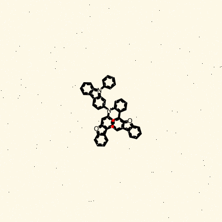 c1ccc(-n2c3ccccc3c3ccc(N(c4ccc5c(c4)oc4ccccc45)c4ccccc4-c4cccc5c4oc4ccccc45)cc32)cc1